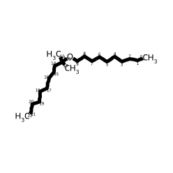 CCCCCCCCCCOC(C)(C)CCCCCCCCC